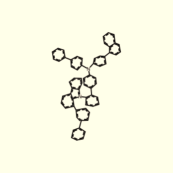 c1ccc(-c2ccc(N(c3ccc(-c4ccccc4-n4c5ccccc5c5cccc(-c6cccc(-c7ccccc7)c6)c54)cc3)c3ccc(-c4cccc5ccccc45)cc3)cc2)cc1